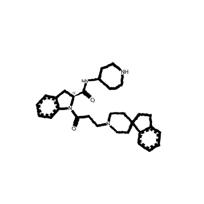 O=C(NC1CCNCC1)[C@@H]1Cc2ccccc2N1C(=O)CCN1CCC2(CCc3ccccc32)CC1